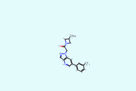 COC1CN(C(=O)Cn2ncc3ncc(-c4cccc(C(F)(F)F)c4)cc32)C1